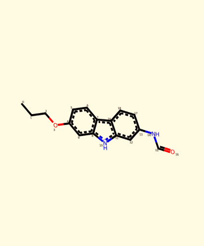 CCCOc1ccc2c(c1)[nH]c1cc(NC=O)ccc12